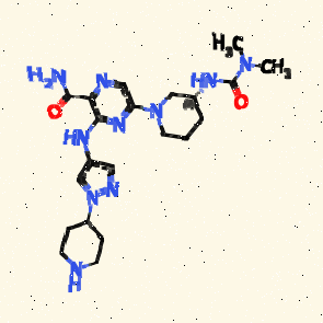 CN(C)C(=O)N[C@@H]1CCCN(c2cnc(C(N)=O)c(Nc3cnn(C4CCNCC4)c3)n2)C1